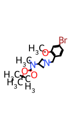 COc1cc(Br)ccc1CN1CC(N(C)C(=O)OC(C)(C)C)C1